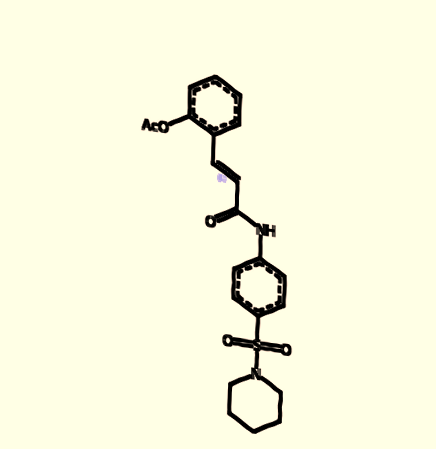 CC(=O)Oc1ccccc1/C=C/C(=O)Nc1ccc(S(=O)(=O)N2CCCCC2)cc1